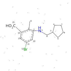 Cc1c(NCC2CCCC2)cc(Br)cc1C(=O)O